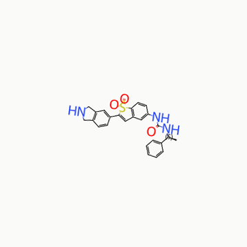 C[C@H](NC(=O)Nc1ccc2c(c1)C=C(c1ccc3c(c1)CNC3)S2(=O)=O)c1ccccc1